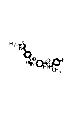 Cc1nc(-c2ccc(S(=O)(=O)N[C@H]3CC[C@H](C(=O)N[C@H](C)C4(C)C=CC(F)=CC4)CC3)cc2)cs1